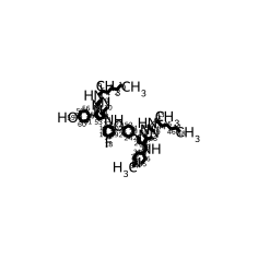 CCCCC[C@H](C)Nc1ncc2c(Nc3ccc(F)cc3O[C@H]3CC[C@H](c4cc(NC5CCN(C)CC5)c5cnc(N[C@@H](C)CCCCC)nn54)CC3)cc([C@H]3CC[C@H](O)CC3)n2n1